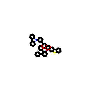 c1ccc(-c2ccccc2-c2c(-c3ccccc3)cccc2N(c2ccc(-c3cccc(-n4c5ccccc5c5ccccc54)c3)cc2)c2ccc3c(c2)sc2ccccc23)cc1